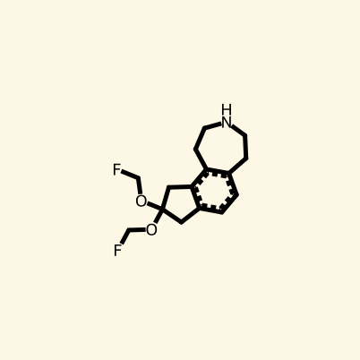 FCOC1(OCF)Cc2ccc3c(c2C1)CCNCC3